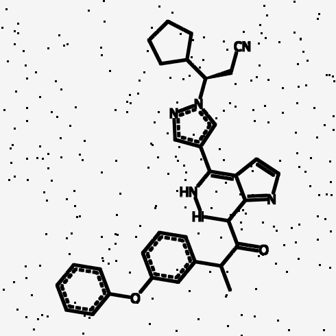 CC(C(=O)C1[IH]NC(c2cnn([C@H](CC#N)C3CCCC3)c2)=C2C=CN=C21)c1cccc(Oc2ccccc2)c1